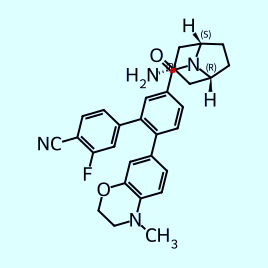 CN1CCOc2cc(-c3ccc(C(=O)N4[C@@H]5CC[C@H]4C[C@@H](N)C5)cc3-c3ccc(C#N)c(F)c3)ccc21